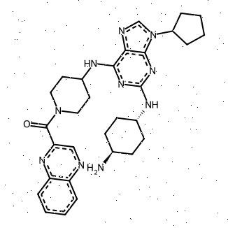 N[C@H]1CC[C@H](Nc2nc(NC3CCN(C(=O)c4cnc5ccccc5n4)CC3)c3ncn(C4CCCC4)c3n2)CC1